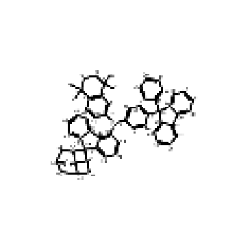 CC1(C)CCC(C)(C)c2cc(N(c3ccc(C4(c5ccccc5)c5ccccc5-c5ccccc54)cc3)c3cccc4c3-c3ccccc3C43C4CC5CC6CC3C64C5)ccc21